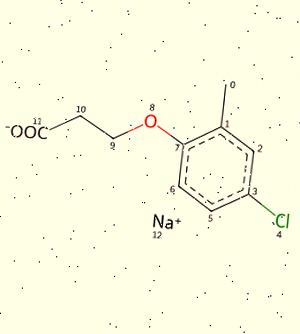 Cc1cc(Cl)ccc1OCCC(=O)[O-].[Na+]